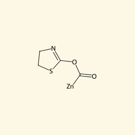 O=[C]([Zn])OC1=NCCS1